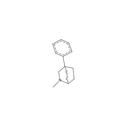 CN1CC2(c3ccccc3)CCC1CC2